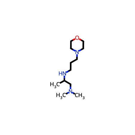 CC(CN(C)C)NCCCN1CCOCC1